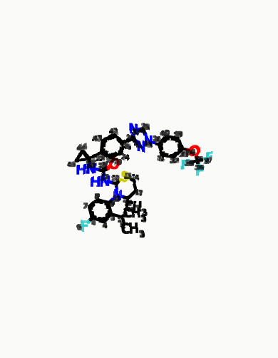 CC(C)c1cc(F)ccc1N1C(C)CCSC1NC(=O)NC1(c2ccc(-c3ncn(-c4ccc(OC(F)(F)F)cc4)n3)cc2)CC1